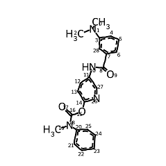 CN(C)c1cccc(C(=O)Nc2ccc(OC(=O)N(C)c3ccccc3)nc2)c1